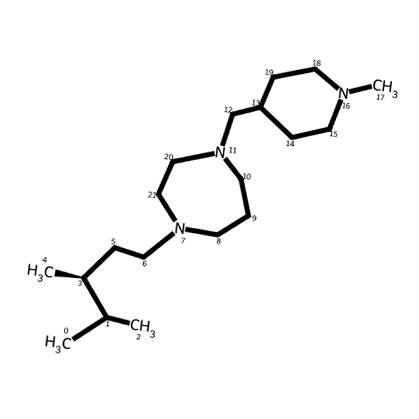 CC(C)[C@@H](C)CCN1CCCN(CC2CCN(C)CC2)CC1